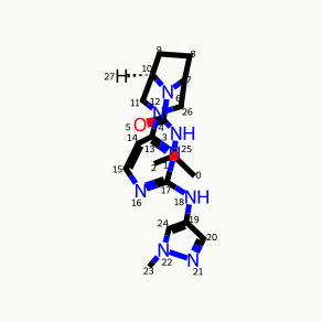 CC(C)NC(=O)N1C2CC[C@@H]1CN(c1ccnc(Nc3cnn(C)c3)n1)C2